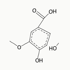 CO.COc1cc(C(=O)O)ccc1O